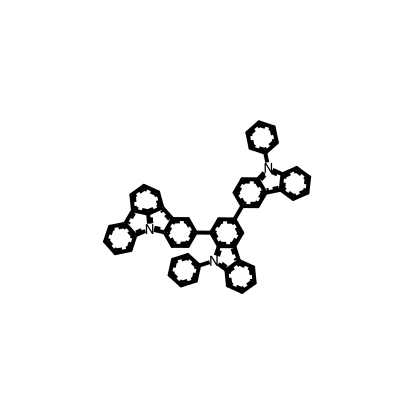 c1ccc(-n2c3ccccc3c3cc(-c4cc(-c5ccc6c(c5)c5cccc7c8ccccc8n6c75)c5c(c4)c4ccccc4n5-c4ccccc4)ccc32)cc1